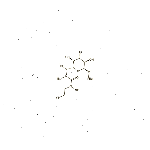 CCCCO[C@H]1O[C@H](C(O)N(C(=O)N(CCCl)N=O)C(C)CC)[C@@H](O)[C@H](O)[C@H]1O